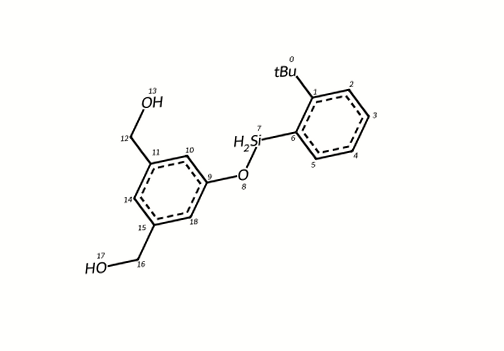 CC(C)(C)c1ccccc1[SiH2]Oc1cc(CO)cc(CO)c1